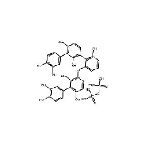 CC(C)(C)c1cc(-c2c(C(C)(C)C)ccc(Oc3cccc(O)c3-c3ccc(C(C)(C)C)c(-c4ccc(O)c(C(C)(C)C)c4)c3C(C)(C)C)c2C(C)(C)C)ccc1O.O=P(O)(O)OP(=O)(O)O